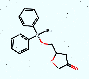 CC(C)(C)[Si](OCC1CC(=O)CO1)(c1ccccc1)c1ccccc1